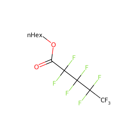 CCCCCCOC(=O)C(F)(F)C(F)(F)C(F)(F)C(F)(F)F